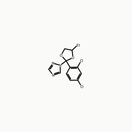 CCC1COC(c2ccc(Cl)cc2Cl)(n2cncn2)O1